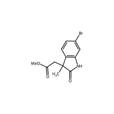 COC(=O)CC1(C)C(=O)Nc2cc(Br)ccc21